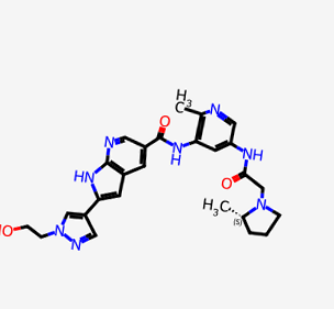 Cc1ncc(NC(=O)CN2CCC[C@@H]2C)cc1NC(=O)c1cnc2[nH]c(-c3cnn(CCO)c3)cc2c1